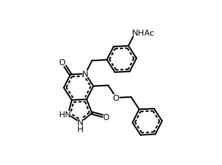 CC(=O)Nc1cccc(Cn2c(COCc3ccccc3)c3c(=O)[nH][nH]c3cc2=O)c1